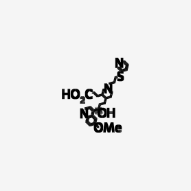 COc1ccc2nccc([C@@H](O)CCC3CCN(CCCSc4cccnc4)CC3CCC(=O)O)c2c1